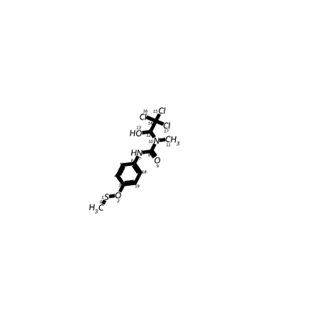 CSOc1ccc(NC(=O)N(C)C(O)C(Cl)(Cl)Cl)cc1